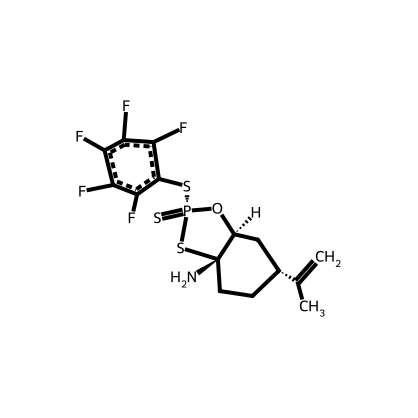 C=C(C)[C@@H]1CC[C@]2(N)S[P@](=S)(Sc3c(F)c(F)c(F)c(F)c3F)O[C@H]2C1